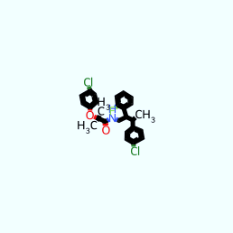 CC(c1ccc(Cl)cc1)C(CNC(=O)C(C)(C)Oc1ccc(Cl)cc1)c1ccccc1F